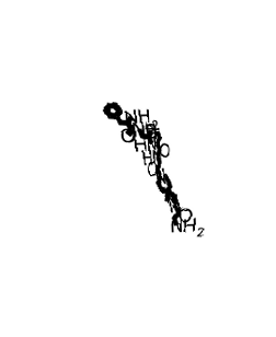 CC(C)CC(NC(=O)CNC(=O)C(N)Cc1ccccc1)C(=O)NCC(=O)N1CCC2(CC1)CN(C(=O)CN)C2